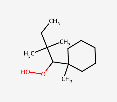 CCC(C)(C)C(OO)C1(C)CCCCC1